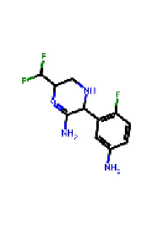 NC1=NC(C(F)F)CNC1c1cc(N)ccc1F